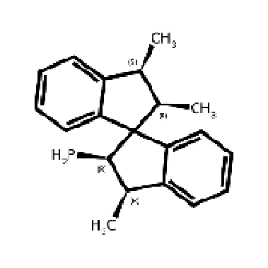 C[C@@H]1c2ccccc2C2(c3ccccc3[C@@H](C)[C@H]2P)[C@@H]1C